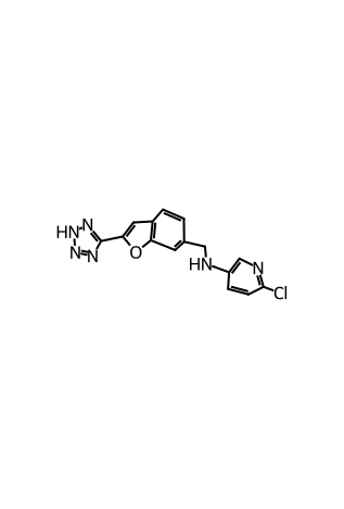 Clc1ccc(NCc2ccc3cc(-c4nn[nH]n4)oc3c2)cn1